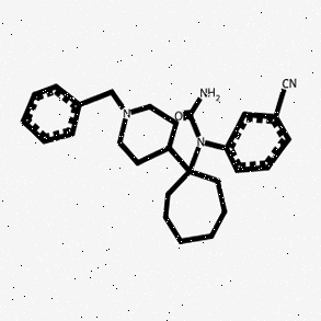 N#Cc1cccc(N(C(N)=O)C2(C3CCN(Cc4ccccc4)CC3)CCCCCC2)c1